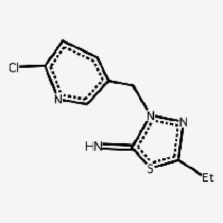 CCc1nn(Cc2ccc(Cl)nc2)c(=N)s1